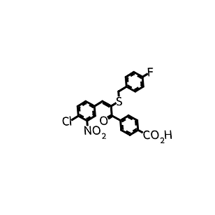 O=C(O)c1ccc(C(=O)/C(=C\c2ccc(Cl)c([N+](=O)[O-])c2)SCc2ccc(F)cc2)cc1